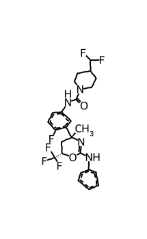 C[C@]1(c2cc(NC(=O)N3CCC(C(F)F)CC3)ccc2F)C[C@@H](C(F)(F)F)OC(Nc2ccccc2)=N1